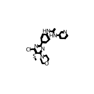 C=C(Nc1ccc(-c2nc(Cl)c(SC)c(N3CCOCC3)n2)cc1)Nc1cccnc1